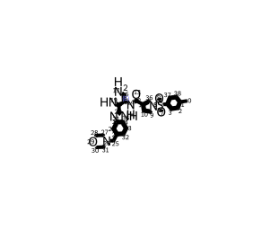 Cc1ccc(S(=O)(=O)n2ccc(C(=O)N/C(=C/N)C(=N)c3nc4cc(CN5CCOCC5)ccc4[nH]3)c2)cc1